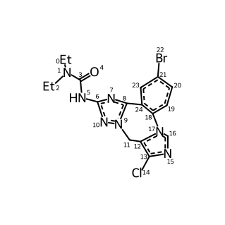 CCN(CC)C(=O)Nc1nc2n(n1)Cc1c(Cl)ncn1-c1ccc(Br)cc1-2